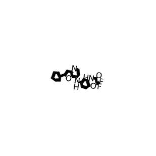 O=C1Nc2cc(Nc3ccnc4cc(-c5ccccc5)oc34)ccc2OC1(F)F